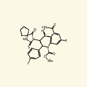 CC(C)(C)OC(=O)N1c2cc(F)cc3c(=O)[nH]nc(c23)C(N2C(=O)C3(CCCC3)NC2=S)C1c1ccc(F)cc1